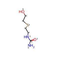 NC(=O)NCCSCCO